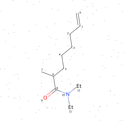 C=CCCCCC(C)C(=O)N(CC)CC